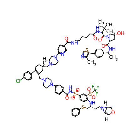 Cc1ncsc1C1=CCC([C@H](C)NC(=O)[C@@H]2C[C@@H](O)CN2C(=O)[C@@H](NC(=O)CCCCCNC(=O)c2ccc(N3CCN(C[C@]4(C)CCC(c5ccc(Cl)cc5)=C(CN5CCN(c6ccc(C(=O)NS(=O)(=O)c7ccc(N[C@H](CCN8C[C@H]9C[C@@H]8CO9)CSc8ccccc8)c(S(=O)(=O)C(F)(F)F)c7)cc6)CC5)C4)CC3)nc2)C(C)(C)C)C=C1